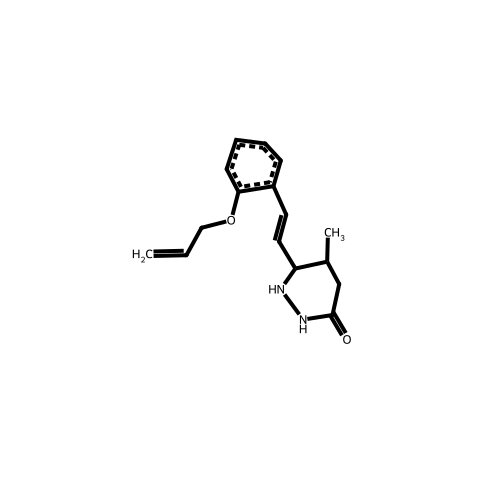 C=CCOc1ccccc1/C=C/C1NNC(=O)CC1C